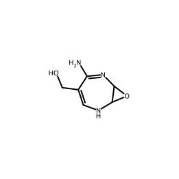 NC1=NC2OC2NC=C1CO